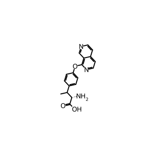 CC(c1ccc(Oc2nccc3ccncc23)cc1)[C@H](N)C(=O)O